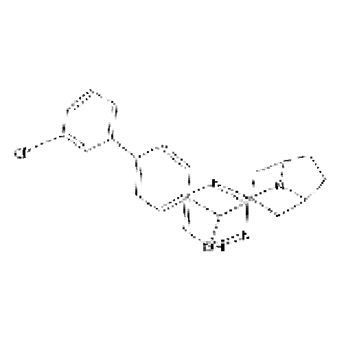 OC(c1ccc(-c2cccc(Cl)c2)cc1)C1CC2CCC(C1)N2c1ncccn1